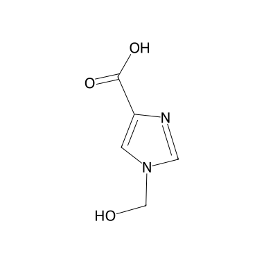 O=C(O)c1cn(CO)cn1